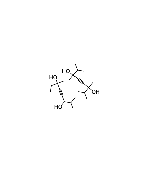 CC(C)C(C)(O)C#CC(C)(O)C(C)C.CCC(C)(O)C#CC(O)C(C)C